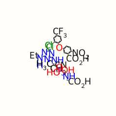 CCNc1nc(Cl)nc(NC(C)(C)C#N)n1.O=C(O)CNCP(=O)(O)O.O=C(O)c1cc(Oc2ccc(C(F)(F)F)cc2Cl)ccc1[N+](=O)[O-]